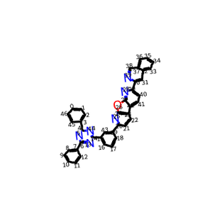 c1ccc(-c2nc(-c3ccccc3)nc(-c3cccc(-c4ccc5c(n4)oc4nc(-c6cc7ccccc7cn6)ccc45)c3)n2)cc1